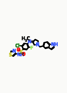 CN(c1cc(Cl)c(S(=O)(=O)Nc2cscn2)cc1F)[C@H]1CCN(Cc2ccc3[nH]ccc3c2)C1